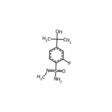 CN=S(N)(=O)c1ccc(C(C)(C)O)cc1F